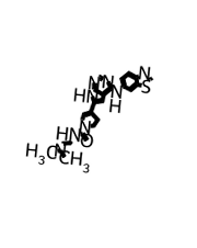 CN(C)CCNC(=O)N1CC=C(c2cc3c(Nc4ccc5ncsc5c4)ncnc3[nH]2)CC1